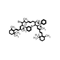 CC(C=CC1=C(C)CCCC1(C)C)=CC(C(Br)C(C)CC=CCC(C)C(Br)C(C=C(C)C=CC1=C(C)CCCC1(C)C)S(=O)(=O)c1ccccc1)S(=O)(=O)c1ccccc1